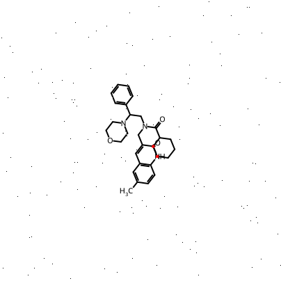 Cc1ccc2[nH]c(=O)c(CN(CC(c3ccccc3)N3CCOCC3)C(=O)C3CCCCC3)cc2c1